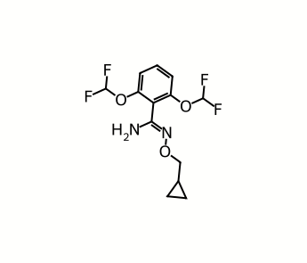 NC(=NOCC1CC1)c1c(OC(F)F)cccc1OC(F)F